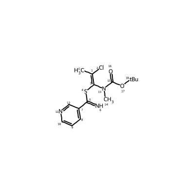 C/C(Cl)=C(\SC(=N)c1cccnc1)N(C)C(=O)OC(C)(C)C